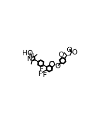 COC(=O)C[C@@H]1COc2cc(O[C@@H]3CCc4c3ccc(C(F)(F)F)c4-c3ccc(-c4c(C)nn(O)c4C)cc3)ccc21